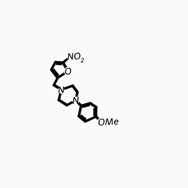 COc1ccc(N2CCN(Cc3ccc([N+](=O)[O-])o3)CC2)cc1